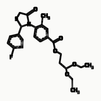 CCOC(CCOC(=O)c1ccc(N2C(=O)CSC2c2ccc(F)cc2)c(C)c1)OCC